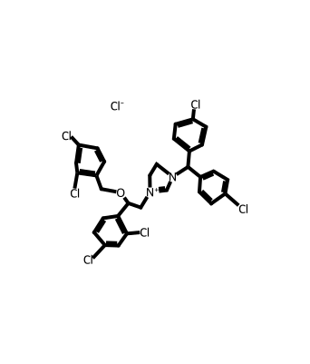 Clc1ccc(C(c2ccc(Cl)cc2)N2C=[N+](CC(OCc3ccc(Cl)cc3Cl)c3ccc(Cl)cc3Cl)CC2)cc1.[Cl-]